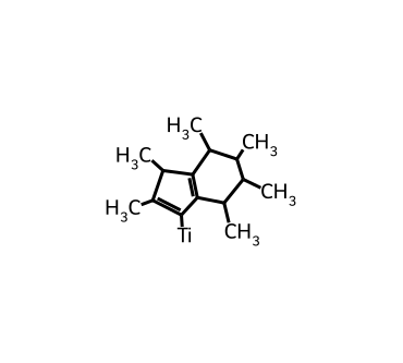 CC1=[C]([Ti])C2=C(C1C)C(C)C(C)C(C)C2C